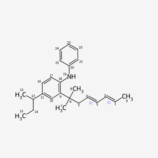 C/C=C/C=C/CC(C)(C)c1cc(C(C)CC)ccc1Nc1ccccc1